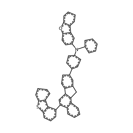 c1ccc(N(c2ccc(-c3ccc4c(c3)Cc3c-4cc(-c4cccc5sc6ccccc6c45)c4ccccc34)cc2)c2ccc3oc4ccccc4c3c2)cc1